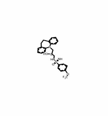 N=S(=O)(NC[C@@H](O)CN1c2ccccc2CCc2ccccc21)c1ccc(OC(F)(F)F)cc1